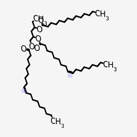 CCCCCCCC/C=C\CCCCCCCC(=O)OCC(CC(CC)OC(=O)CCCCCCCCCCCCC)OC(=O)CCCCCCC/C=C\CCCCCCCC